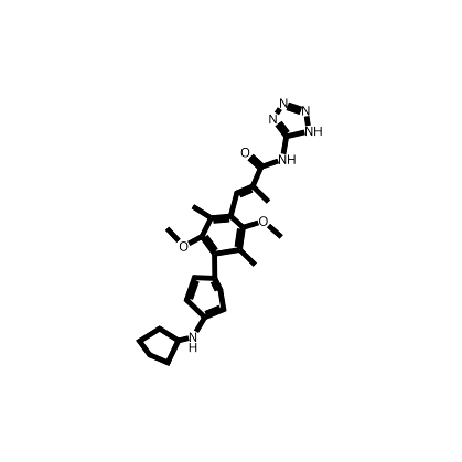 COc1c(C)c(-c2ccc(NC3CCCC3)cc2)c(OC)c(C)c1/C=C(\C)C(=O)Nc1nnn[nH]1